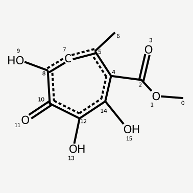 COC(=O)c1c(C)cc(O)c(=O)c(O)c1O